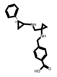 O=C(O)c1ccc(CNC2(CNC3C[C@@H]3c3ccccc3)CC2)cc1